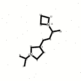 CC(C)N1CCC(CCC(C)N2CCC2)C1